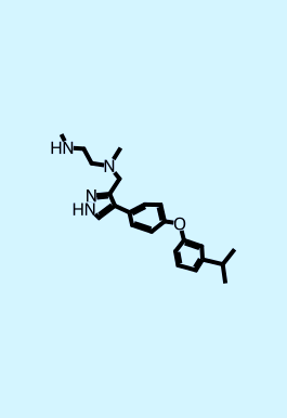 CNCCN(C)Cc1n[nH]cc1-c1ccc(Oc2cccc(C(C)C)c2)cc1